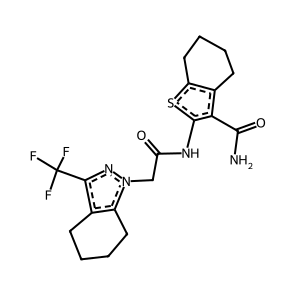 NC(=O)c1c(NC(=O)Cn2nc(C(F)(F)F)c3c2CCCC3)sc2c1CCCC2